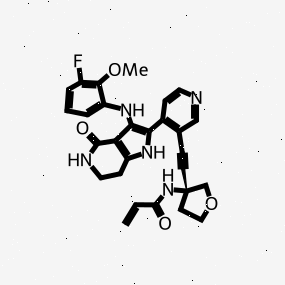 C=CC(=O)N[C@@]1(C#Cc2cnccc2-c2[nH]c3c(c2Nc2cccc(F)c2OC)C(=O)NCC3)CCOC1